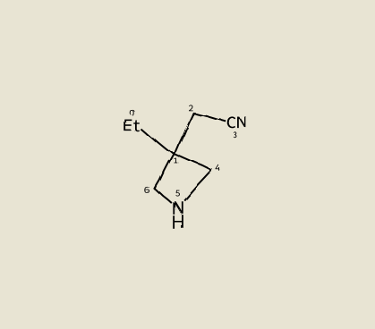 CCC1(CC#N)CNC1